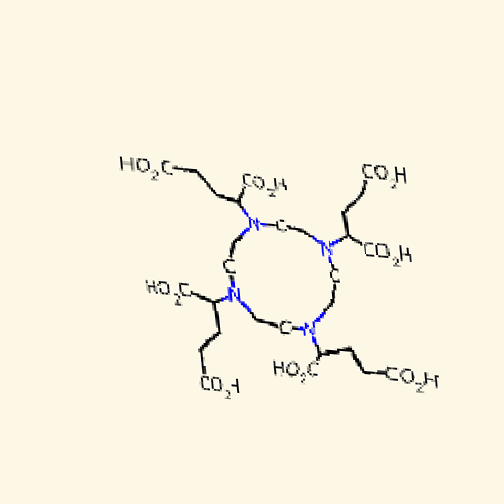 O=C(O)CCC(C(=O)O)N1CCN(C(CCC(=O)O)C(=O)O)CCN(C(CCC(=O)O)C(=O)O)CCN(C(CCC(=O)O)C(=O)O)CC1